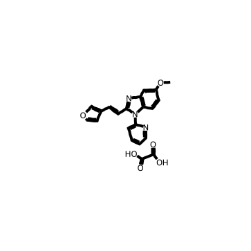 COc1ccc2c(c1)nc(C=Cc1ccoc1)n2-c1ccccn1.O=C(O)C(=O)O